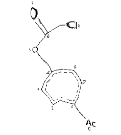 CC(=O)c1ccc(OC(=O)Cl)cc1